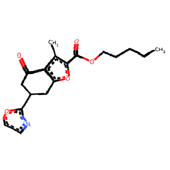 CCCCCOC(=O)c1oc2c(c1C)C(=O)CC(c1ncco1)C2